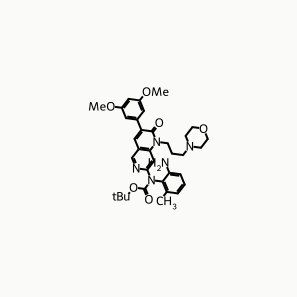 COc1cc(OC)cc(-c2cc3cnc(N(C(=O)OC(C)(C)C)c4c(C)cccc4N)cc3n(CCCN3CCOCC3)c2=O)c1